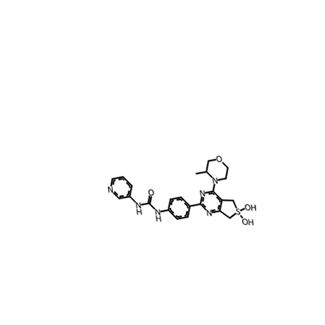 CC1COCCN1c1nc(-c2ccc(NC(=O)Nc3cccnc3)cc2)nc2c1CS(O)(O)C2